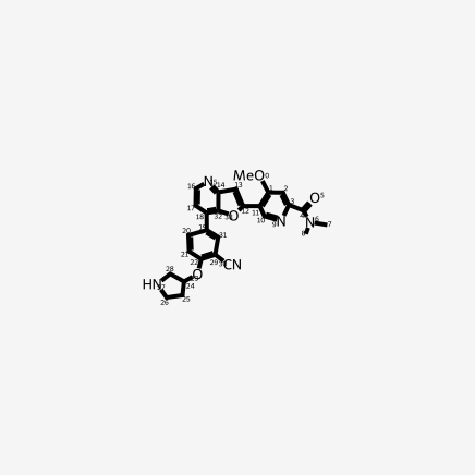 COc1cc(C(=O)N(C)C)ncc1-c1cc2nccc(-c3ccc(OC4CCNC4)c(C#N)c3)c2o1